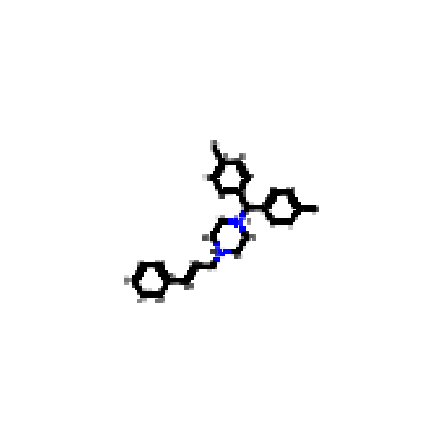 Cc1ccc(C(c2ccc(C)cc2)N2CCN(C/C=C/c3ccccc3)CC2)cc1